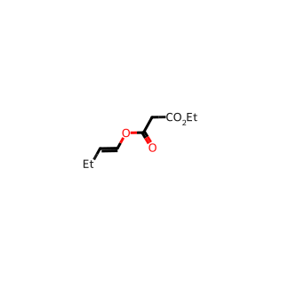 CCC=COC(=O)CC(=O)OCC